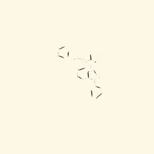 C[C@H](NC(=O)C(C)(F)F)[C@H](Oc1ccc2c(cnn2-c2ccc(F)cc2)c1)c1cccc(F)c1